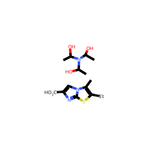 CC(O)N(C(C)O)C(C)O.CCc1sc2nc(C(=O)O)cn2c1C